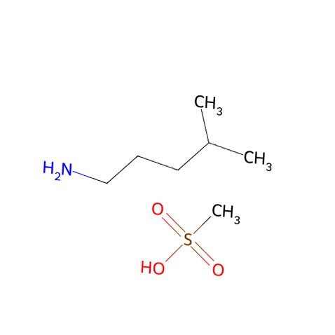 CC(C)CCCN.CS(=O)(=O)O